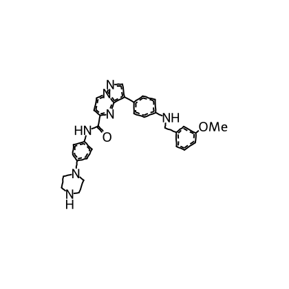 COc1cccc(CNc2ccc(-c3cnn4ccc(C(=O)Nc5ccc(N6CCNCC6)cc5)nc34)cc2)c1